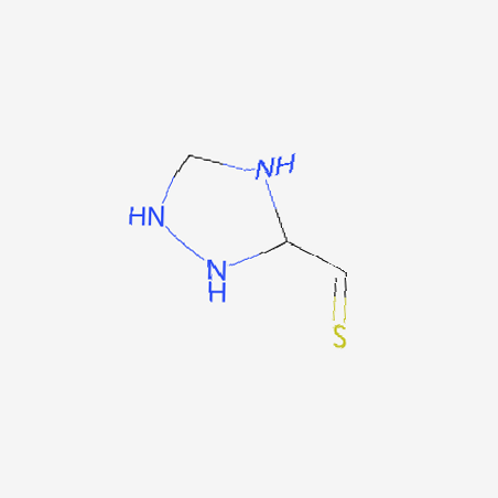 S=CC1NCNN1